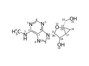 CNc1ncnc2c1ncn2[C@@H]1O[C@@]2(CO)CC2C1O